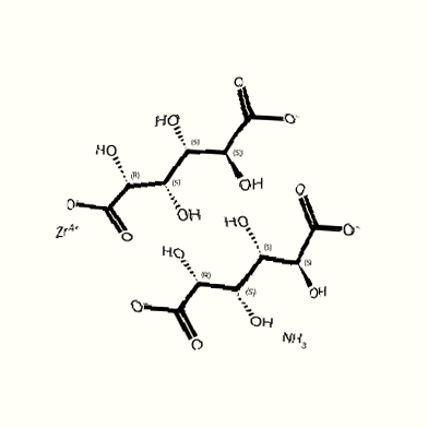 N.O=C([O-])[C@@H](O)[C@@H](O)[C@H](O)[C@@H](O)C(=O)[O-].O=C([O-])[C@@H](O)[C@@H](O)[C@H](O)[C@@H](O)C(=O)[O-].[Zr+4]